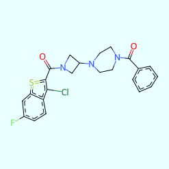 O=C(c1ccccc1)N1CCN(C2CN(C(=O)c3sc4cc(F)ccc4c3Cl)C2)CC1